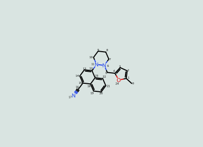 Cc1ccc(CN2CCCCN2c2ccc(C#N)c3ccccc23)o1